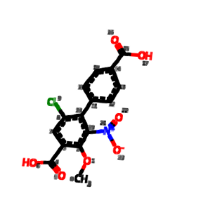 COc1c(C(=O)O)cc(Cl)c(-c2ccc(C(=O)O)cc2)c1[N+](=O)[O-]